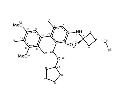 CCO[C@H]1C[C@](Nc2cc(C)c(-c3cc(OC)c(C)c(OC)c3C)c(COC3CCCC3)c2)(C(=O)O)C1